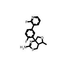 CC1OCC2(c3cc(-c4cccnc4F)ccc3F)N=C(N)SCC12